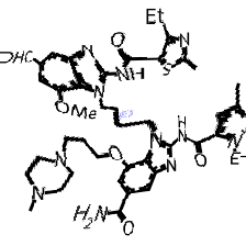 CCc1nc(C)sc1C(=O)Nc1nc2cc(C=O)cc(OC)c2n1C/C=C/Cn1c(NC(=O)c2cc(C)nn2CC)nc2cc(C(N)=O)cc(OCCCN3CCN(C)CC3)c21